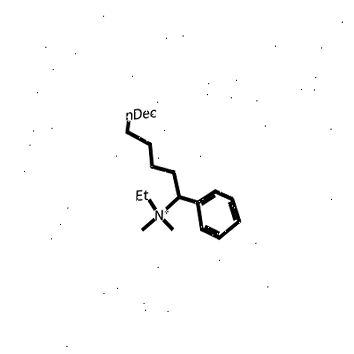 CCCCCCCCCCCCCCC(c1ccccc1)[N+](C)(C)CC